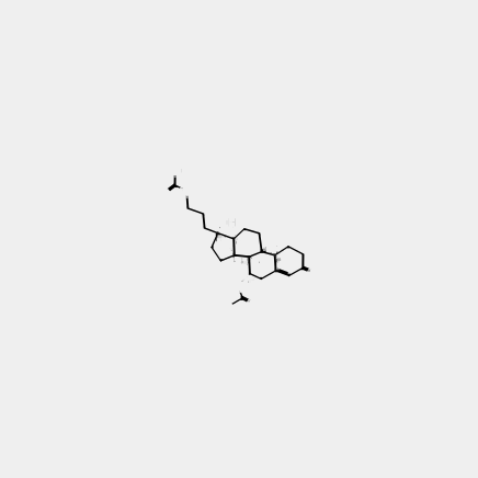 CCC(=O)OCCC[C@]1(O)CC[C@H]2[C@@H]3[C@H](SC(=O)CC)CC4=CC(=O)CC[C@]4(C)[C@H]3CC[C@@]21C